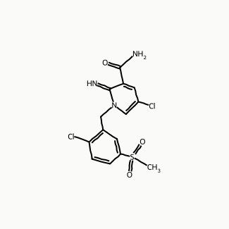 CS(=O)(=O)c1ccc(Cl)c(Cn2cc(Cl)cc(C(N)=O)c2=N)c1